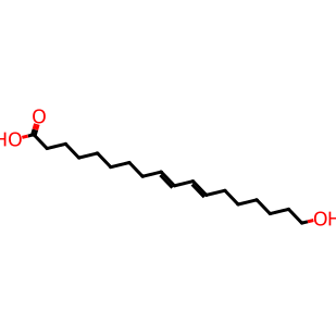 O=C(O)CCCCCCCC=CC=CCCCCCCO